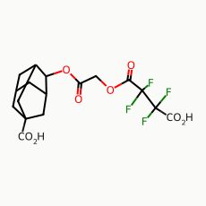 O=C(COC(=O)C(F)(F)C(F)(F)C(=O)O)OC1C2CC3CC1CC(C(=O)O)(C3)C2